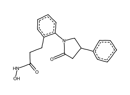 O=C(CCc1ccccc1N1CC(c2ccccc2)CC1=O)NO